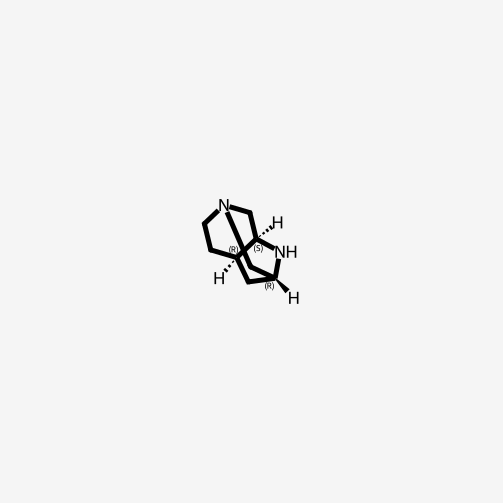 C1CN2C[C@H]3C[C@@H]1[C@@H](C2)N3